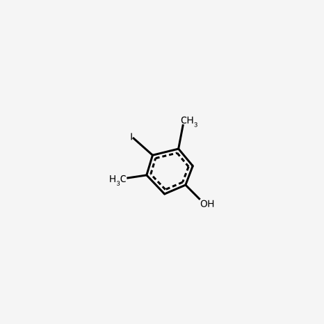 Cc1cc(O)cc(C)c1I